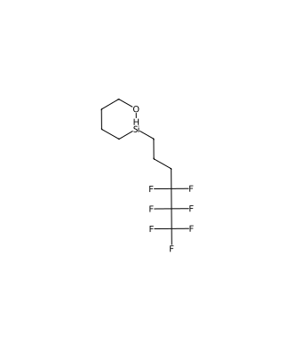 FC(F)(F)C(F)(F)C(F)(F)CCC[SiH]1CCCCO1